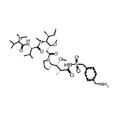 CC[C@H](C)[C@@H]([C@@H](CC(=O)N1CCC[C@H]1[C@H](OC)[C@@H](C)C(=O)NS(=O)(=O)Cc1ccc(CN)cc1)OC)N(C)C(=O)[C@@H](NC(=O)C(C(C)C)N(C)C)C(C)C